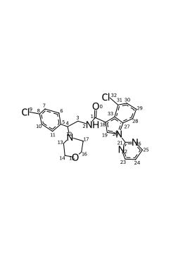 O=C(NCC(c1ccc(Cl)cc1)N1CCOCC1)c1cn(-c2ncccn2)c2cccc(Cl)c12